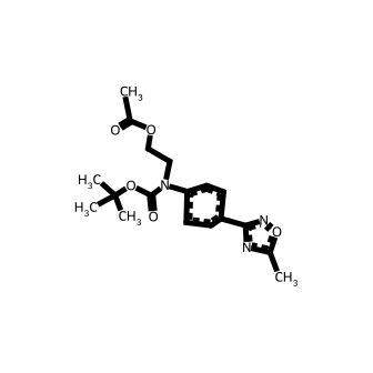 CC(=O)OCCN(C(=O)OC(C)(C)C)c1ccc(-c2noc(C)n2)cc1